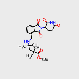 CC(C)(CC(C)(C)C(=O)OC(C)(C)C)NCc1cccc2c1C(=O)N(C1CCC(=O)NC1=O)C2=O